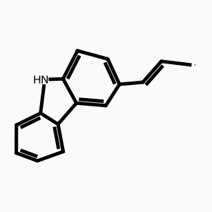 [CH2]/C=C/c1ccc2[nH]c3ccccc3c2c1